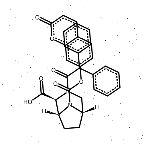 O=C(O)[C@@H]1[C@H]2CC[C@@H](CN1C(=O)C(c1ccccc1)c1ccccc1)N2C(=O)Oc1ccc2ccc(=O)oc2c1